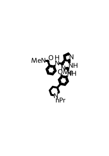 CCCN1CCCC(c2ccc(Nc3nc(Nc4ccccc4C(=O)NC)c4ccnc-4[nH]3)c(OC)c2)C1